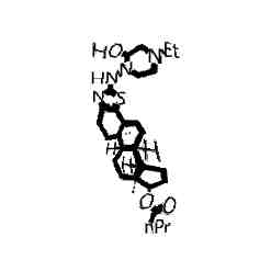 CCCC(=O)O[C@H]1CC[C@H]2[C@@H]3CC=C4c5sc(NN6CCN(CC)CC6O)nc5CC[C@]4(C)[C@H]3CC[C@]12C